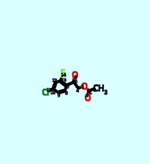 CC(=O)OCC(=O)c1ccc(Cl)cc1F